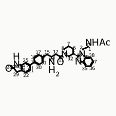 CC(=O)NCCn1c([C@@H]2CCCN(C(=O)C[C@H](N)Cc3ccc(-c4ccc5c(c4)NC(=O)C5)cc3)C2)nc2ccccc21